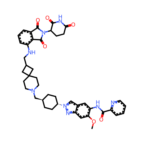 COc1cc2nn([C@H]3CC[C@H](CN4CCC5(CC4)CC(CNc4cccc6c4C(=O)N(C4CCC(=O)NC4=O)C6=O)C5)CC3)cc2cc1NC(=O)c1ccccn1